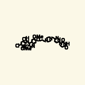 COc1cc(Nc2c(C#N)cnc3cc(OCCCN4CCN(Cc5ccc(N6CCC(=O)NC6=O)nn5)CC4)c(OC)cc23)c(Cl)cc1Cl